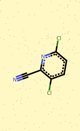 N#Cc1nc(Cl)ccc1Cl